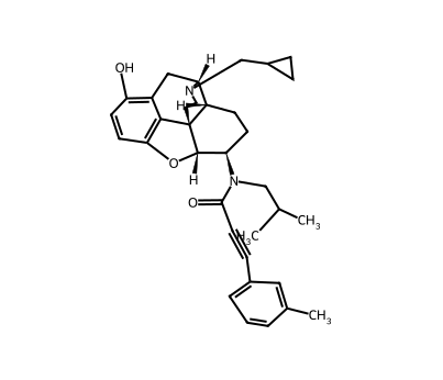 Cc1cccc(C#CC(=O)N(CC(C)C)[C@@H]2CC[C@H]3[C@H]4Cc5c(O)ccc6c5[C@@]3(CCN4CC3CC3)[C@H]2O6)c1